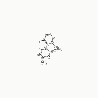 Cc1cccc(C#N)c1-n1cnc(N)nc1=O